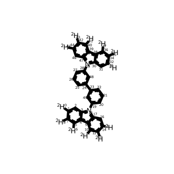 [2H]c1cc2c(c([2H])c1[2H])c1c([2H])c([2H])c([2H])cc1n2-c1cccc(-c2cccc(-n3c4cc([2H])c([2H])c([2H])c4c4c([2H])c([2H])c([2H])cc43)c2)c1